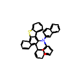 C1=CC(c2c(N(c3ccccc3)c3ccc4ccccc4c3)c3c4ccccc4sc3c3ccccc23)=CCC1